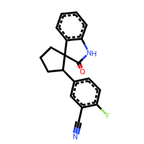 N#Cc1cc(C2CCCC23C(=O)Nc2ccccc23)ccc1F